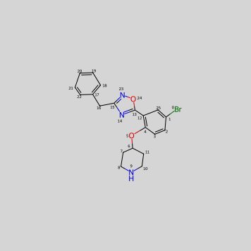 Brc1ccc(OC2CCNCC2)c(-c2nc(Cc3ccccc3)no2)c1